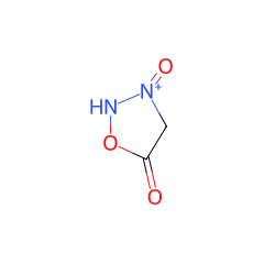 O=C1C[N+](=O)NO1